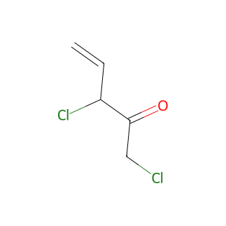 C=CC(Cl)C(=O)CCl